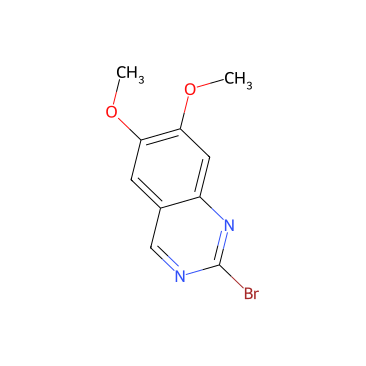 COc1cc2cnc(Br)nc2cc1OC